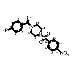 O=C(c1ccc(F)cc1)N1CCN(S(=O)(=O)c2ccc([N+](=O)[O-])cc2)CC1